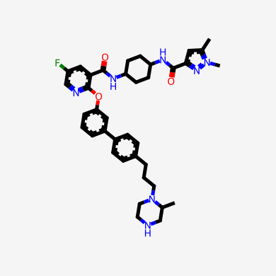 Cc1cc(C(=O)NC2CCC(NC(=O)c3cc(F)cnc3Oc3cccc(-c4ccc(CCCN5CCNCC5C)cc4)c3)CC2)nn1C